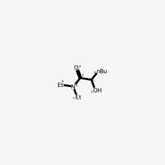 CCCCC(O)C(=O)N(CC)CC